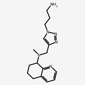 CN(Cc1cn(CCCN)nn1)C1CCCc2cccnc21